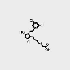 O=C(O)CSCCCC[C@@H]1[C@@H](/C=C/c2cc(Cl)cc(Cl)c2)[C@H](O)C[C@H]1Cl